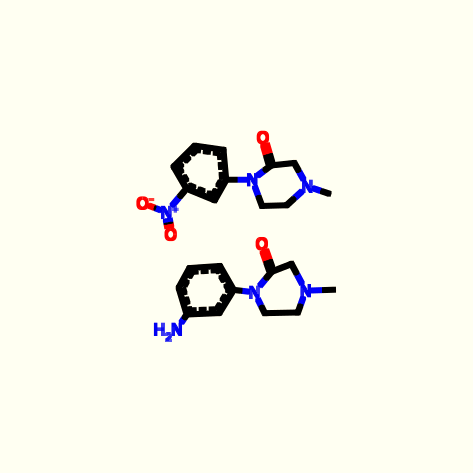 CN1CCN(c2cccc(N)c2)C(=O)C1.CN1CCN(c2cccc([N+](=O)[O-])c2)C(=O)C1